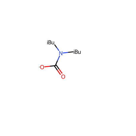 CCC(C)N(C([O])=O)C(C)CC